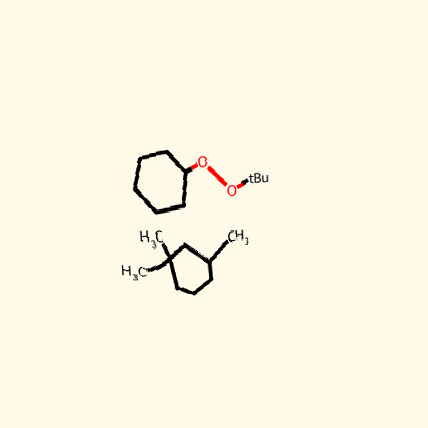 CC(C)(C)OOC1CCCCC1.CC1CCCC(C)(C)C1